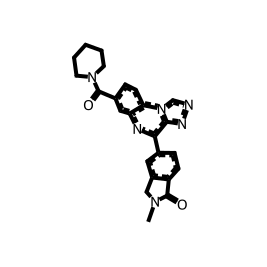 CN1Cc2cc(-c3nc4cc(C(=O)N5CCCCC5)ccc4n4cnnc34)ccc2C1=O